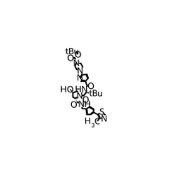 Cc1ncsc1-c1ccc(CNC(=O)[C@@H]2C[C@@H](O)CN2C(=O)[C@@H](NC(=O)c2ccc(N3CCN(C(=O)OC(C)(C)C)CC3)nc2)C(C)(C)C)cc1